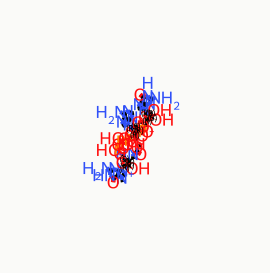 COC(=O)NC[C@H]1[C@@H](O)[C@H](n2c[n+](C)c3c(=O)[nH]c(N)nc32)O[C@@H]1COP(=O)(O)OP(=O)(O)OP(=O)(O)OC[C@H]1O[C@@H](n2cnc3c(N)ncnc32)[C@H](OC)[C@@H]1P(=O)([O-])OC[C@H]1O[C@@H](n2cnc3c(=O)[nH]c(N)nc32)[C@H](O)[C@@H]1O